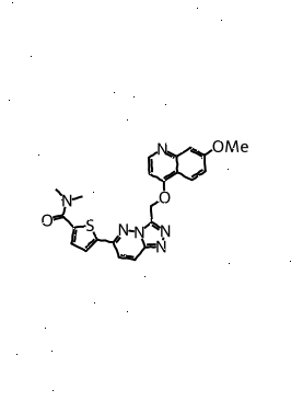 COc1ccc2c(OCc3nnc4ccc(-c5ccc(C(=O)N(C)C)s5)nn34)ccnc2c1